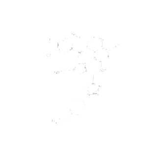 CCN1CCC(n2cc([C@@H](Nc3cc(Cl)c4ncc(C#N)c(Nc5ccc(F)c(Cl)c5)c4c3)c3cc(C#N)cs3)nn2)CC1